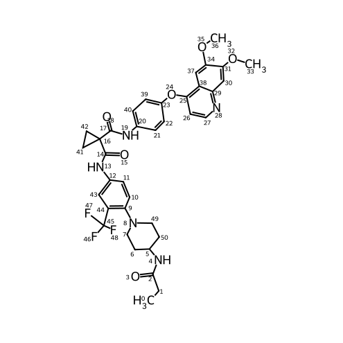 CCC(=O)NC1CCN(c2ccc(NC(=O)C3(C(=O)Nc4ccc(Oc5ccnc6cc(OC)c(OC)cc56)cc4)CC3)cc2C(F)(F)F)CC1